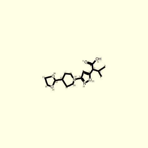 CC(C)C(C(=O)O)c1cc(N2CCC(C3OCCO3)CC2)no1